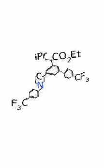 CCOC(=O)C(CC(C)C)c1cc(-c2ccc(C(F)(F)F)cc2)cc(C2CCCN(Cc3ccc(C(F)(F)F)cc3)C2)c1